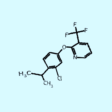 CC(C)c1ccc(Oc2ncccc2C(F)(F)F)cc1Cl